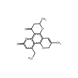 CCc1cc(=O)oc2c3c(c4c(c12)OCC(C)=C4)OC(C)CC3=O